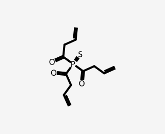 C=CCC(=O)P(=S)(C(=O)CC=C)C(=O)CC=C